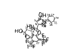 O=C(O)CC(NC(=O)c1cc(O)n(-c2ccccc2)n1)c1cc(C(F)(F)F)cc(C(F)(F)F)c1